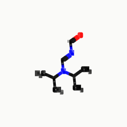 CC(C)N(C=N[C]=O)C(C)C